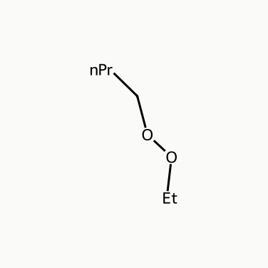 [CH2]CCCOOC[CH2]